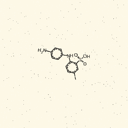 Cc1ccc(Nc2ccc(N)cc2)c(S(=O)(=O)O)c1